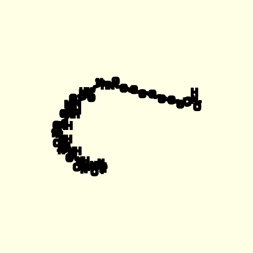 CC(=O)Nc1ccc(OCCOCCOCCOCCOCCOCCOCCC(=O)NCCCN(C)CCCNC(=O)c2cc(NC(=O)c3nc(NC(=O)CCNC(=O)c4cc(NC(=O)c5nc(NC(=O)CCNC(=O)c6cc(NC(=O)c7nccn7C)cn6C)cn5C)cn4C)cn3C)cn2C)cc1